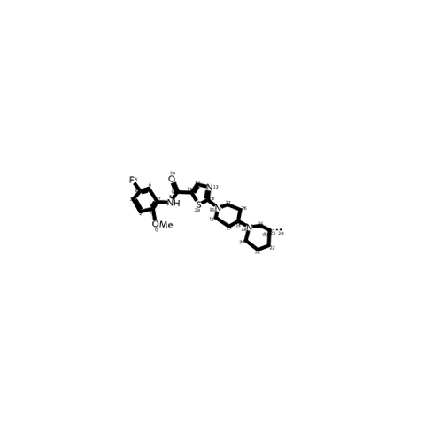 COc1ccc(F)cc1NC(=O)c1cnc(N2CCC(N3CCC[C@@H](C)C3)CC2)s1